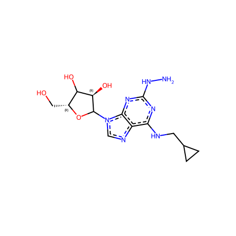 NNc1nc(NCC2CC2)c2ncn(C3O[C@H](CO)C(O)[C@H]3O)c2n1